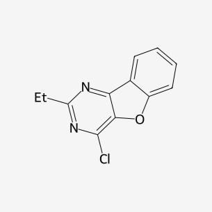 CCc1nc(Cl)c2oc3ccccc3c2n1